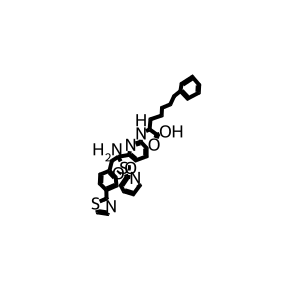 NC(Cc1ccc(-c2nccs2)cc1)(c1cccc(NC(CCCCCc2ccccc2)C(=O)O)n1)S(=O)(=O)c1ccccn1